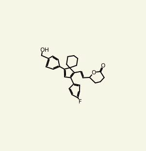 O=C1CCCC(/C=C/C2=C(c3ccc(F)cc3)C=C(c3ccc(CO)cc3)C23CCCCC3)O1